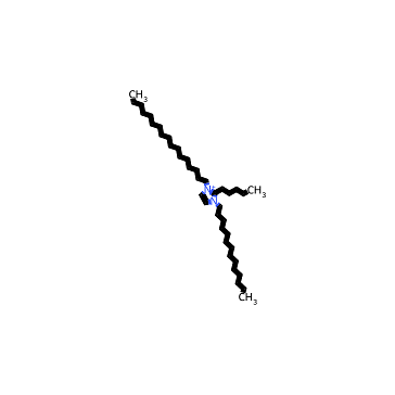 CCCCCCCCCCCCCCCCC[n+]1ccn(CCCCCCCCCCCCCC)c1CCCCC